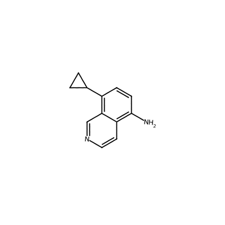 Nc1ccc(C2CC2)c2cnccc12